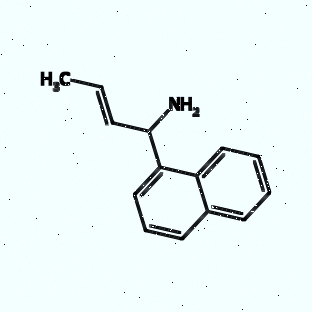 CC=CC(N)c1cccc2ccccc12